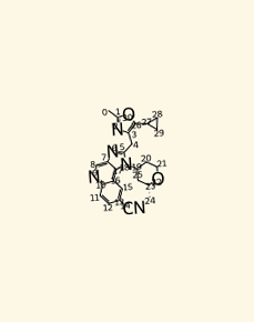 Cc1nc(Cc2nc3cnc4ccc(C#N)cc4c3n2C2CCO[C@H](C)C2)c(C2CC2)o1